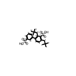 CC(C)(C)Cc1ccc(-c2cccc(S(=O)(=O)O)c2)c(CC(C)(C)C)c1S(=O)(=O)O